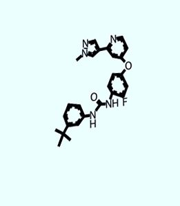 Cn1cc(-c2cc(Oc3ccc(NC(=O)Nc4cccc(C(C)(C)C)c4)c(F)c3)ccn2)cn1